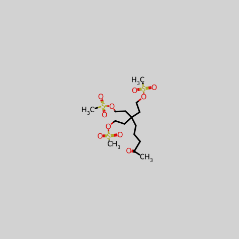 CC(=O)CCCC(CCOS(C)(=O)=O)(CCOS(C)(=O)=O)CCOS(C)(=O)=O